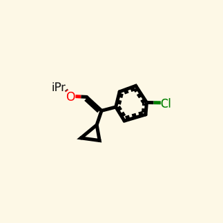 CC(C)OC=C(c1ccc(Cl)cc1)C1CC1